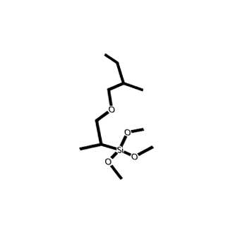 CCC(C)COCC(C)[Si](OC)(OC)OC